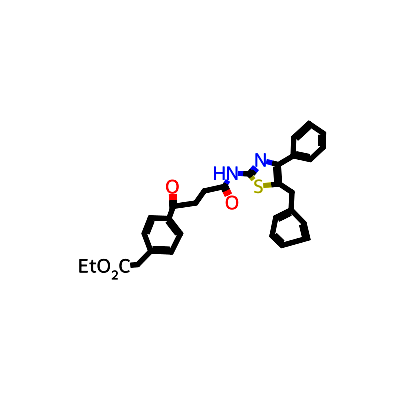 CCOC(=O)Cc1ccc(C(=O)CCC(=O)Nc2nc(-c3ccccc3)c(Cc3ccccc3)s2)cc1